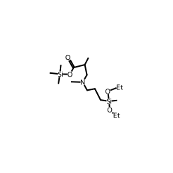 CCO[Si](C)(CCCN(C)CC(C)C(=O)O[Si](C)(C)C)OCC